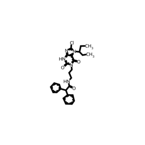 CCC(CC)n1c(Cl)nc2[nH]c(=O)n(CCCNC(=O)C(c3ccccc3)c3ccccc3)c(=O)c21